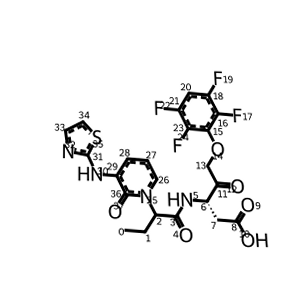 CCC(C(=O)N[C@@H](CC(=O)O)C(=O)COc1c(F)c(F)cc(F)c1F)n1cccc(Nc2nccs2)c1=O